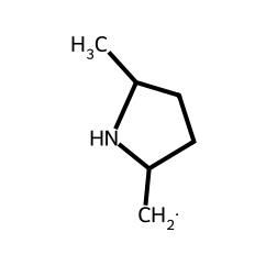 [CH2]C1CCC(C)N1